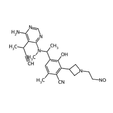 C#CC(C)c1c(N)ncnc1N(C)C(C)c1cc(C)c(C#N)c(C2CN(CCN=O)C2)c1O